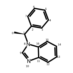 C[C@@H](c1ccccc1)n1cnc2ccccc21